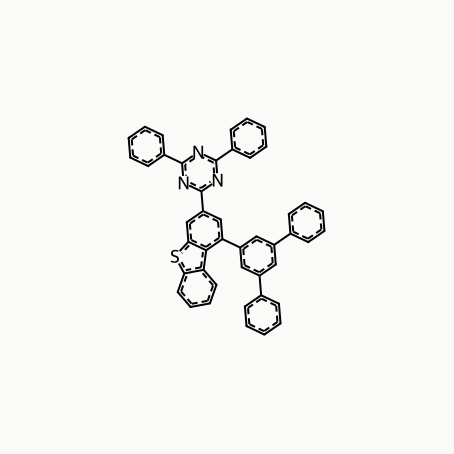 c1ccc(-c2cc(-c3ccccc3)cc(-c3cc(-c4nc(-c5ccccc5)nc(-c5ccccc5)n4)cc4sc5ccccc5c34)c2)cc1